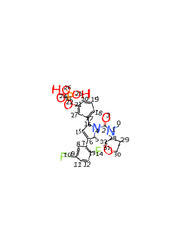 CN(C(=O)N1CC(c2cc(F)ccc2F)=C[C@H]1c1cccc(OP(=O)(O)O)c1)C1CCOC1